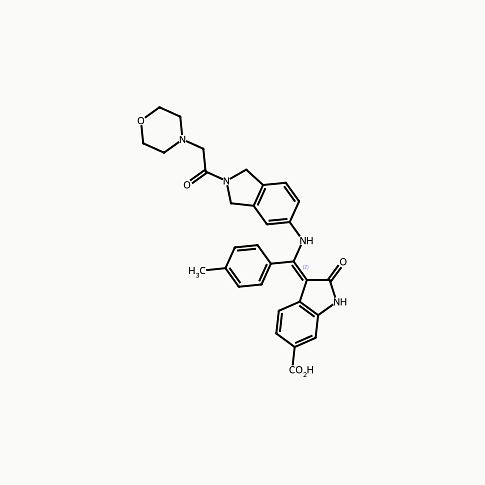 Cc1ccc(/C(Nc2ccc3c(c2)CN(C(=O)CN2CCOCC2)C3)=C2/C(=O)Nc3cc(C(=O)O)ccc32)cc1